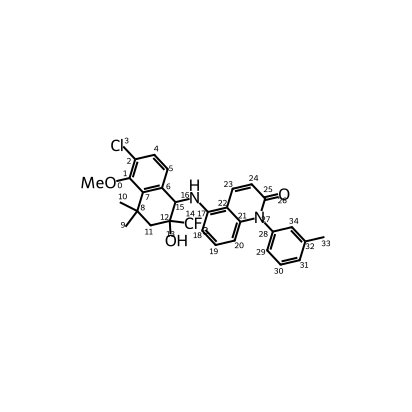 COc1c(Cl)ccc2c1C(C)(C)CC(O)(C(F)(F)F)C2Nc1cccc2c1ccc(=O)n2-c1cccc(C)c1